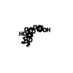 CCOC(CC)Oc1cc2oc(Oc3ccc(O)cc3)cc(=O)c2c(O)c1OC